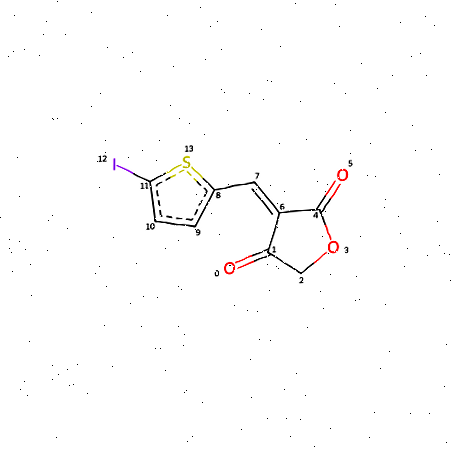 O=C1COC(=O)/C1=C/c1ccc(I)s1